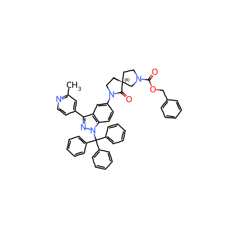 Cc1cc(-c2nn(C(c3ccccc3)(c3ccccc3)c3ccccc3)c3ccc(N4CC[C@]5(CCN(C(=O)OCc6ccccc6)C5)C4=O)cc23)ccn1